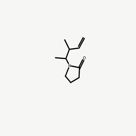 C=CC(C)C(C)N1CCCC1=O